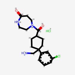 Cl.NCC1(c2cccc(Cl)c2)CCC(C(=O)N2CCNC(=O)CC2)CC1